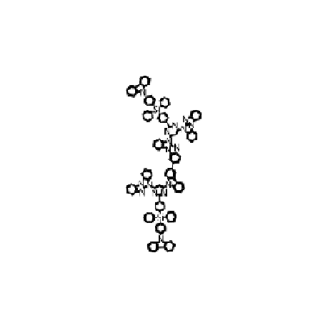 c1ccc([Si](c2ccccc2)(c2ccc(-c3nc(-n4c5ccccc5c5cc(-c6ccc7nc8n(-c9cc(-n%10c%11ccccc%11n%11c%12ccccc%12nc%10%11)nc(-c%10ccc([Si](c%11ccccc%11)(c%11ccccc%11)c%11ccc(-n%12c%13ccccc%13c%13ccccc%13%12)cc%11)cc%10)n9)c9ccccc9n8c7c6)ccc54)cc(-n4c5ccccc5n5c6ccccc6nc45)n3)cc2)c2ccc(-n3c4ccccc4c4ccccc43)cc2)cc1